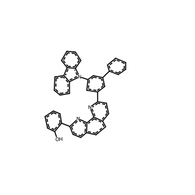 Oc1ccccc1-c1ccc2ccc3ccc(-c4cc(-c5ccccc5)cc(-n5c6ccccc6c6ccccc65)c4)nc3c2n1